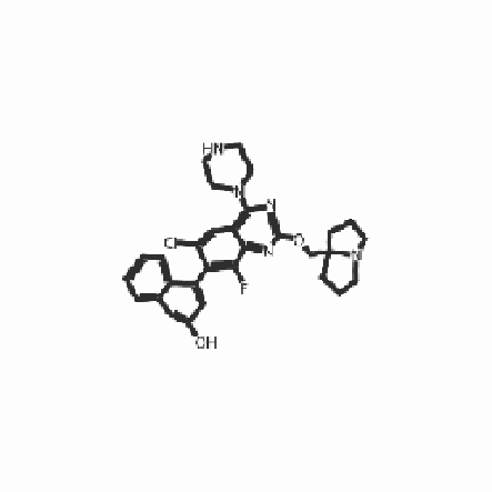 Oc1cc(-c2c(Cl)cc3c(N4CCNCC4)nc(OCC45CCCN4CCC5)nc3c2F)c2ccccc2c1